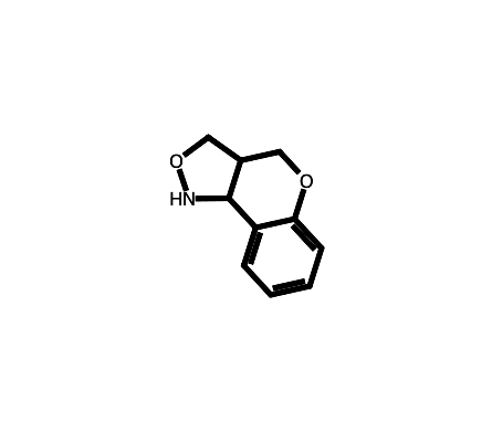 c1ccc2c(c1)OCC1CONC21